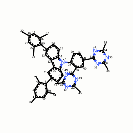 Cc1cc(C)c(-c2ccc3c(c2)c2cc(-c4c(C)cc(C)cc4C)ccc2n3-c2ccc(-c3nc(C)nc(C)n3)cc2-c2nc(C)nc(C)n2)c(C)c1